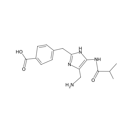 CC(C)C(=O)Nc1[nH]c(Cc2ccc(C(=O)O)cc2)nc1CN